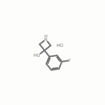 Cl.OC1(c2cccc(F)c2)CNC1